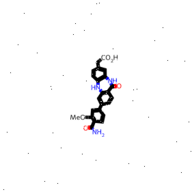 COc1cc(-c2ccc3c(c2)Nc2ccc(CC(=O)O)cc2NC3=O)ccc1C(N)=O